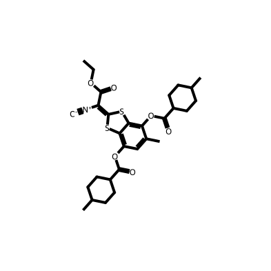 [C-]#[N+]/C(C(=O)OCC)=C1\Sc2c(OC(=O)C3CCC(C)CC3)cc(C)c(OC(=O)C3CCC(C)CC3)c2S1